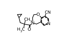 CC(C)(CC1CC1)C(=O)N1CCOc2c(C#N)cncc2C1